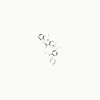 COC(=O)c1cc(Nc2ncc3c(=O)n(-c4c(Cl)cccc4Cl)cc(C)c3n2)ccc1N1CCN(C)CC1